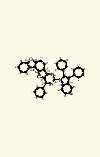 c1ccc(-c2c(-c3ccccc3)n(-c3nc(-c4ccccc4)c4oc5c(ccc6oc7ccccc7c65)c4n3)c3ccccc23)cc1